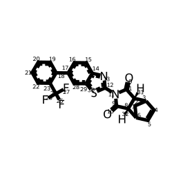 O=C1[C@@H]2C3C=CC(C3)[C@@H]2C(=O)N1c1nc2ccc(-c3ccccc3C(F)(F)F)cc2s1